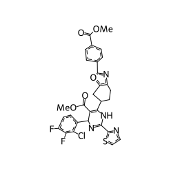 COC(=O)C1=C(C2CCc3nc(-c4ccc(C(=O)OC)cc4)oc3C2)NC(c2nccs2)=NC1c1ccc(F)c(F)c1Cl